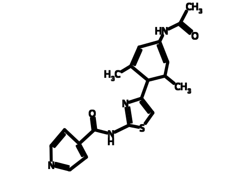 CC(=O)NC1=CC(C)C(c2csc(NC(=O)c3ccncc3)n2)C(C)=C1